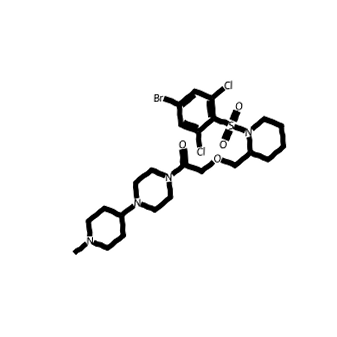 CN1CCC(N2CCN(C(=O)COCC3CCCCN3S(=O)(=O)c3c(Cl)cc(Br)cc3Cl)CC2)CC1